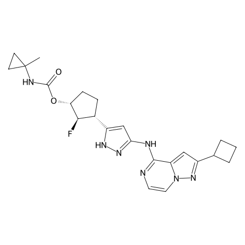 CC1(NC(=O)O[C@@H]2CC[C@H](c3cc(Nc4nccn5nc(C6CCC6)cc45)n[nH]3)[C@H]2F)CC1